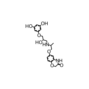 CC(COc1ccc2c(c1)NC(=O)CO2)NCC(O)COc1cc(O)cc(O)c1